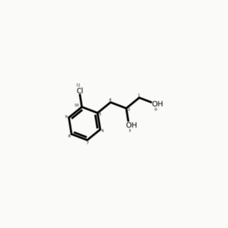 OCC(O)Cc1ccccc1Cl